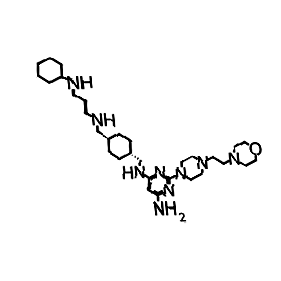 Nc1cc(NC[C@H]2CC[C@H](CNCCCNC3CCCCC3)CC2)nc(N2CCN(CCN3CCOCC3)CC2)n1